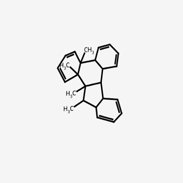 CC1C2C=CC=CC2C2C3C=CC=CC3C3(C)C=CC=CC3(C)C12C